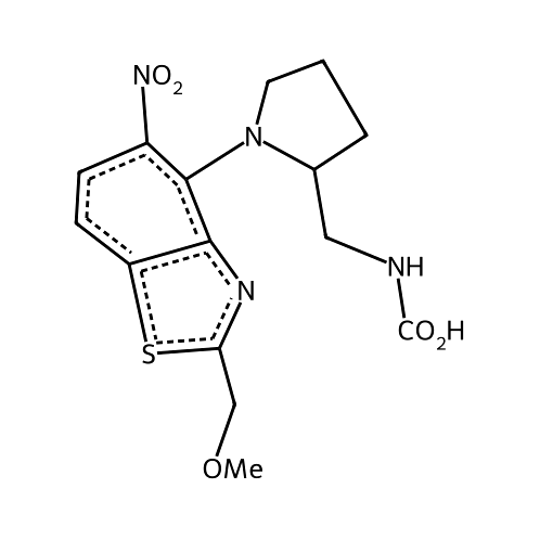 COCc1nc2c(N3CCCC3CNC(=O)O)c([N+](=O)[O-])ccc2s1